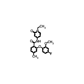 CCn1ccc(NC(=O)c2ccc(C)cc2Oc2ccc(F)cc2OC)cc1=O